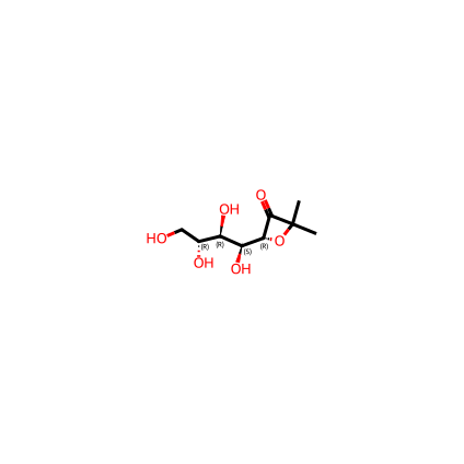 CC1(C)O[C@H]([C@@H](O)[C@H](O)[C@H](O)CO)C1=O